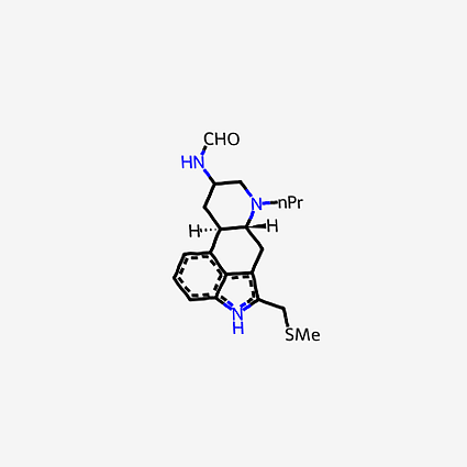 CCCN1CC(NC=O)C[C@@H]2c3cccc4[nH]c(CSC)c(c34)C[C@H]21